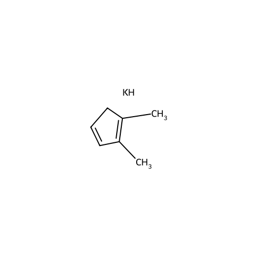 CC1=C(C)CC=C1.[KH]